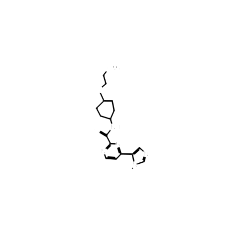 COCCOC1CCC(NC(=O)c2nccc(-c3cncn3C)n2)CC1